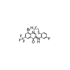 CCSc1ccc(F)cc1Nn1cnc2c(Br)cc(C(F)(F)F)cc2c1=O